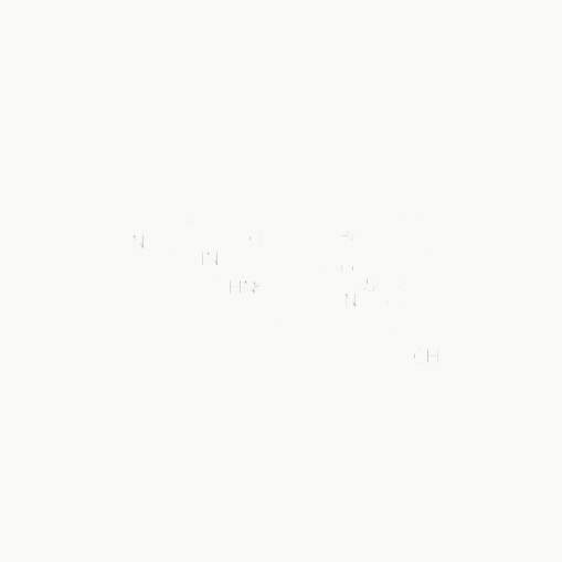 CC=CCN(c1ccc(NC(=O)NCc2cccnc2)cc1)S(=O)(=O)c1ccccc1Br